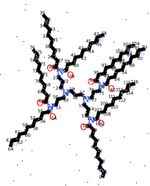 C/C=C/CCCCCCCC(=O)N(CCCN(CCCN(CCCN(C(=O)CCCCCCC/C=C/C)C(=O)CCCCCCC/C=C/C)CCCN(C(=O)CCCCCCC/C=C/C)C(=O)CCCCCCC/C=C/C)CCCN(C(=O)CCCCCCC/C=C/C)C(=O)CCCCCCC/C=C/C)C(=O)CCCCCCC/C=C/C